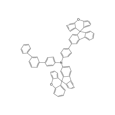 c1ccc(-c2cccc(-c3ccc(N(c4ccc(-c5ccc6c(c5)-c5ccccc5C65c6ccccc6Oc6ccccc65)cc4)c4ccc5c(c4)C4(c6ccccc6Oc6ccccc64)c4ccccc4-5)cc3)c2)cc1